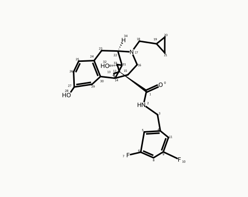 O=C(NCc1cc(F)cc(F)c1)[C@H]1C[C@]23CCN(CC4CC4)[C@H](Cc4ccc(O)cc42)[C@]3(O)C1